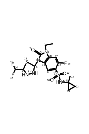 CCn1c(=O)n(C2NNC(C(F)F)S2)c2cc(S(=O)(=O)NC3(C)CC3)c(F)cc21